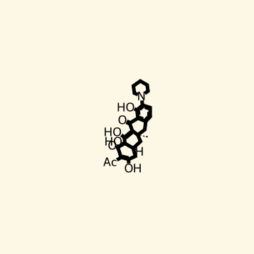 CC(=O)C1=C(O)C[C@@H]2C[C@]3(C)Cc4ccc(N5CCCCC5)c(O)c4C(=O)C3=C(O)[C@]2(O)C1=O